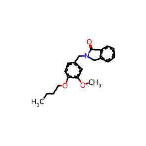 CCCCOc1ccc(CN2Cc3ccccc3C2=O)cc1OC